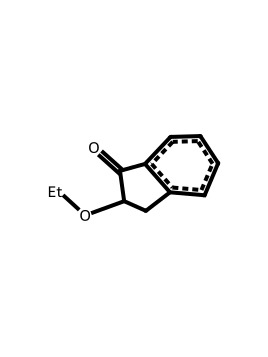 CCOC1Cc2ccccc2C1=O